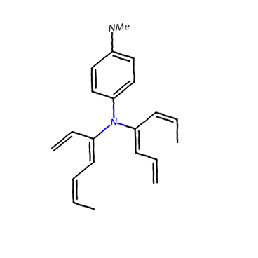 C=C/C=C(\C=C/C)N(/C(C=C)=C/C=C\C)c1ccc(NC)cc1